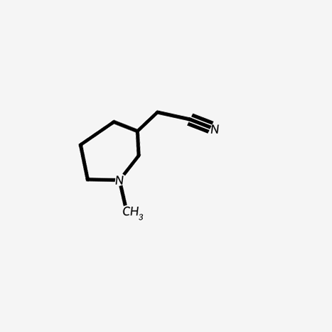 CN1CCCC(CC#N)C1